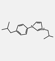 CC(C)Cc1ccc(-n2cc[n+](CC(C)C)c2)cc1